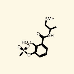 CSCC(C)NC(=O)c1cccc(OS(C)(=O)=O)c1C(=O)O